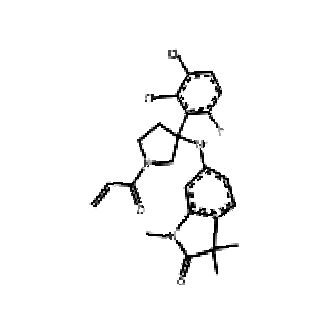 C=CC(=O)N1CCC(Nc2ccc3c(c2)N(C)C(=O)C3(C)C)(c2c(F)ccc(Cl)c2Cl)C1